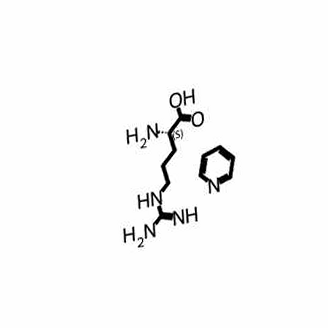 N=C(N)NCCC[C@H](N)C(=O)O.c1ccncc1